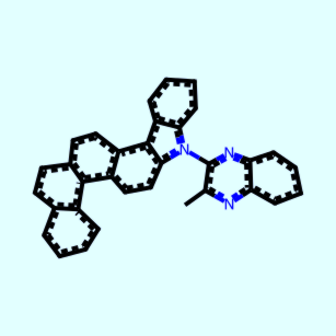 Cc1nc2ccccc2nc1-n1c2ccccc2c2c3ccc4ccc5ccccc5c4c3ccc21